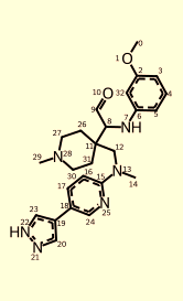 COc1cccc(NC(C=O)C2(CN(C)c3ccc(-c4cn[nH]c4)cn3)CCN(C)CC2)c1